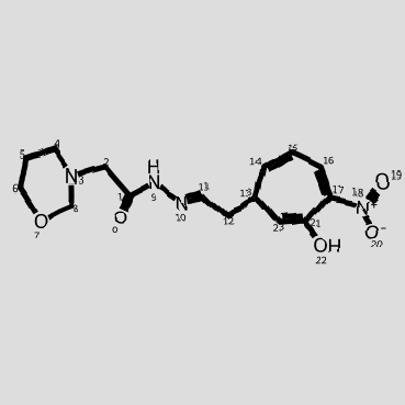 O=C(CN1CCCOC1)N/N=C/CC1C=CC=C([N+](=O)[O-])C(O)=C1